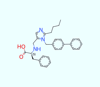 CCCCc1ncc(CN[C@@H](Cc2ccccc2)C(=O)O)n1Cc1ccc(-c2ccccc2)cc1